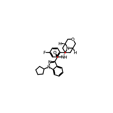 O=C(N[C@H]1C[C@H]2COC[C@@H](C1)N2Cc1ccc(F)cc1)c1nn(C2CCCC2)c2ccccc12